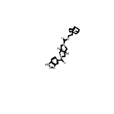 O=C(OCCC12CC3CC=C1C(C3)C2)N1C[C@@H]2CN(C(=O)c3ccc4[nH]nnc4c3)C[C@@H]2C1